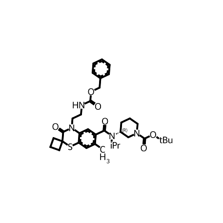 Cc1cc2c(cc1C(=O)N(C(C)C)[C@@H]1CCCN(C(=O)OC(C)(C)C)C1)N(CCNC(=O)OCc1ccccc1)C(=O)C1(CCC1)S2